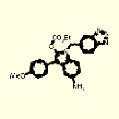 CCOC(=O)Oc1c(-c2ccc(OC)cc2)c2cc(N)ccc2n1Cc1ccc2nsnc2c1